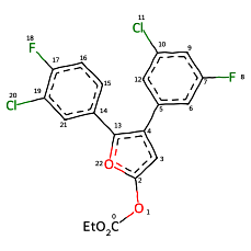 CCOC(=O)Oc1cc(-c2cc(F)cc(Cl)c2)c(-c2ccc(F)c(Cl)c2)o1